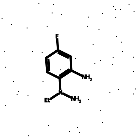 CCN(N)c1ccc(F)cc1N